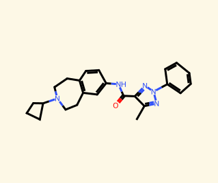 Cc1nn(-c2ccccc2)nc1C(=O)Nc1ccc2c(c1)CCN(C1CCC1)CC2